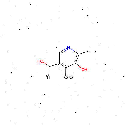 [2H]C(O)c1cnc(C)c(O)c1C=O